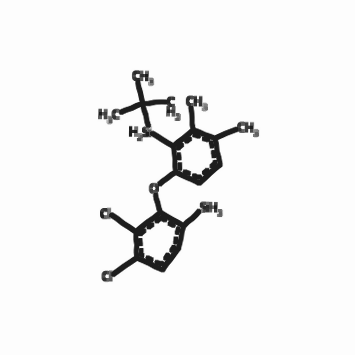 Cc1ccc(Oc2c([SiH3])ccc(Cl)c2Cl)c([SiH2]C(C)(C)C)c1C